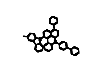 Cc1ccc2c(c1)c1ccccc1n2-c1ccccc1-c1ccccc1N(c1ccc(-c2ccccc2)cc1)c1ccc(-c2ccccc2)cc1